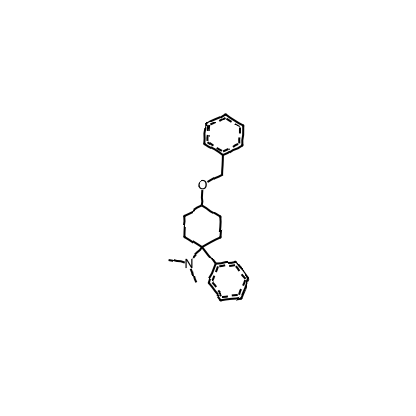 CN(C)C1(c2ccccc2)CCC(OCc2ccccc2)CC1